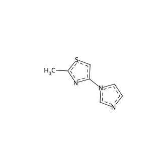 Cc1nc(-n2ccnc2)cs1